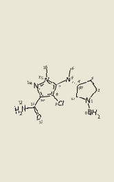 BN1CC[C@@H](N(C)c2c(Cl)c(C(N)=O)nn2C)C1